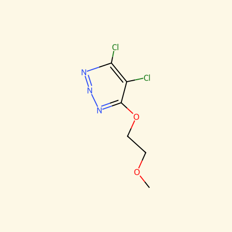 COCCOc1nnnc(Cl)c1Cl